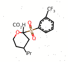 CC(C)C1CCOC(C(=O)O)(S(=O)(=O)c2cccc(C(F)(F)F)c2)C1